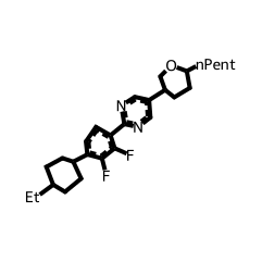 CCCCCC1CCC(c2cnc(-c3ccc(C4CCC(CC)CC4)c(F)c3F)nc2)CO1